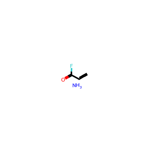 C=CC(=O)F.N